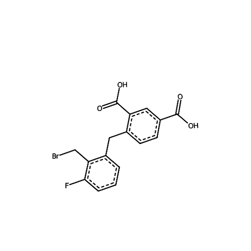 O=C(O)c1ccc(Cc2cccc(F)c2CBr)c(C(=O)O)c1